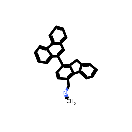 C=NCc1ccc(-c2cc3ccccc3c3ccccc23)c2c1-c1ccccc1C2